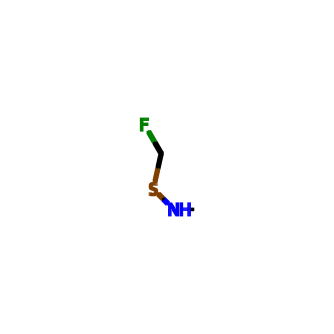 [NH]SCF